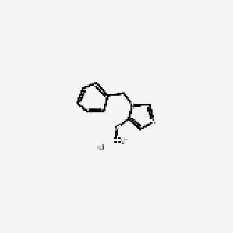 Cl.O=C(O)Oc1cncn1Cc1ccccc1